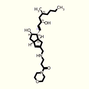 CCCC[C@H](C)C[C@H](O)/C=C/[C@@H]1[C@H]2CC(CNCCC(=O)N3CCOCC3)=C[C@H]2C[C@H]1O